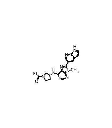 CCC(=O)N1CC[C@H](Nc2ncnc3c2nc(-c2cnc4[nH]ccc4c2)n3C)C1